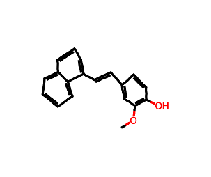 COc1cc(C=Cc2cccc3ccccc23)ccc1O